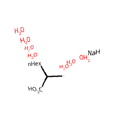 O.O.O.O.O.O.O.[CH2]C(CCCCCC)C(=O)O.[NaH]